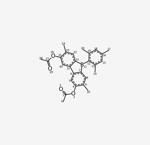 CC(=O)Oc1cc2c(cc1C)B(c1c(C)cc(C)cc1C)c1cc(C)c(OC(C)=O)cc1-2